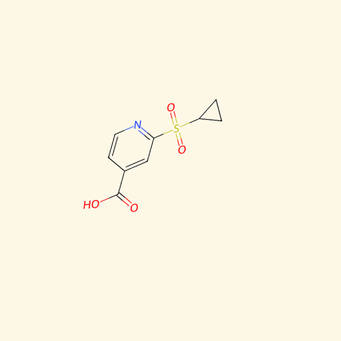 O=C(O)c1ccnc(S(=O)(=O)C2CC2)c1